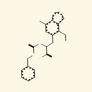 COC(=O)C(Cc1cc(Cl)c2[nH]ncc2c1COC(C)=O)NC(=O)OCc1ccccc1